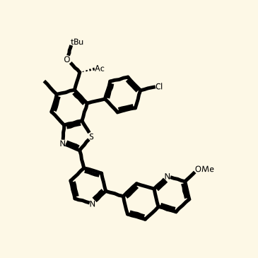 COc1ccc2ccc(-c3cc(-c4nc5cc(C)c([C@H](OC(C)(C)C)C(C)=O)c(-c6ccc(Cl)cc6)c5s4)ccn3)cc2n1